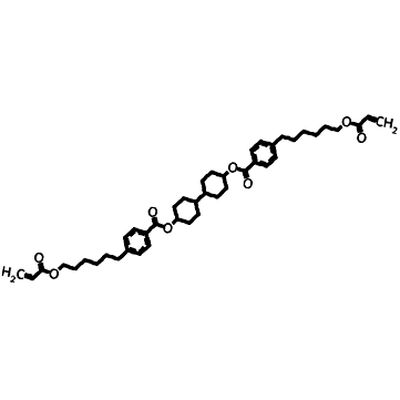 C=CC(=O)OCCCCCCc1ccc(C(=O)OC2CCC(C3CCC(OC(=O)c4ccc(CCCCCCOC(=O)C=C)cc4)CC3)CC2)cc1